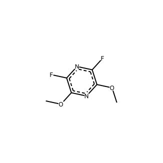 COc1nc(OC)c(F)nc1F